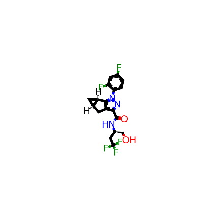 O=C(N[C@@H](CO)CC(F)(F)F)c1nn(-c2ccc(F)cc2F)c2c1C[C@H]1C[C@@H]21